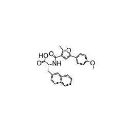 COc1ccc(-c2cc(C(=O)N[C@H](Cc3ccc4ccccc4c3)C(=O)O)c(C)o2)cc1